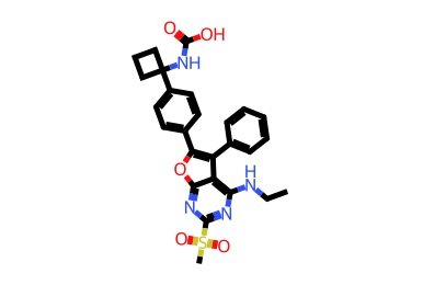 CCNc1nc(S(C)(=O)=O)nc2oc(-c3ccc(C4(NC(=O)O)CCC4)cc3)c(-c3ccccc3)c12